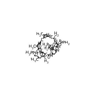 C=C1CC[C@H]2CC(=C)C(CC[C@H]3C[C@@H](C)C(=C)C(C[C@@H]4O[C@H](C[C@H](C)CCPP)[C@H](C)C4CC(=O)C[C@H]4CC[C@@H]5O[C@@H]6C(OC(C1)[C@@H]6OP(P)P)[C@@H](OP(P)P)[C@H]5O4)O3)O2